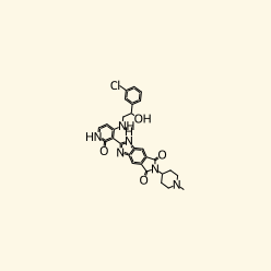 CN1CCC(N2C(=O)c3cc4nc(-c5c(NCC(O)c6cccc(Cl)c6)cc[nH]c5=O)[nH]c4cc3C2=O)CC1